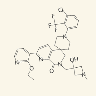 CCOc1ncccc1-c1ccc2c(n1)C(=O)N(CC1(O)CN(C)C1)CC21CCN(c2cccc(Cl)c2C(F)(F)F)CC1